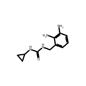 Nc1cccc(CNC(=O)NC2CC2)c1N